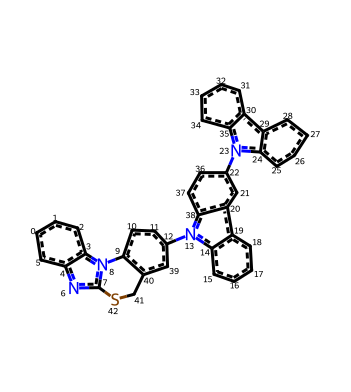 c1ccc2c(c1)nc1n2-c2ccc(-n3c4ccccc4c4cc(-n5c6ccccc6c6ccccc65)ccc43)cc2CS1